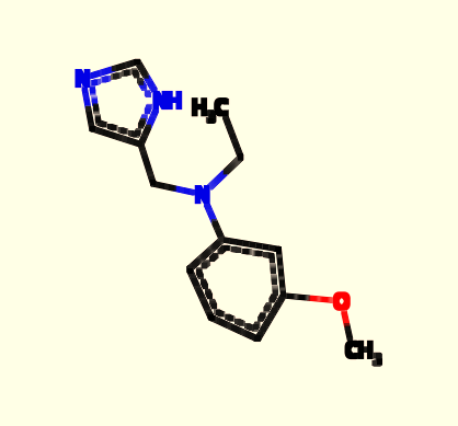 CCN(Cc1cnc[nH]1)c1cccc(OC)c1